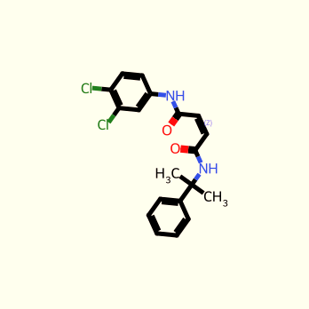 CC(C)(NC(=O)/C=C\C(=O)Nc1ccc(Cl)c(Cl)c1)c1ccccc1